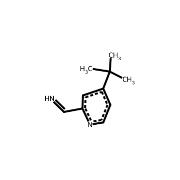 CC(C)(C)c1ccnc(C=N)c1